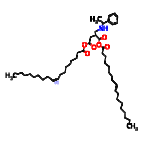 CCCCCCCCC=CCCCCCCCC(=O)OC(=O)C(CNC(C)c1ccccc1)CC(=O)OC(=O)CCCCCCC/C=C\CCCCCCCC